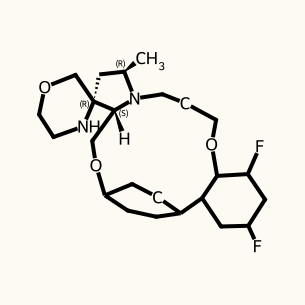 C[C@@H]1C[C@]2(COCCN2)[C@H]2COC3CCC(CC3)C3CC(F)CC(F)C3OCCCN12